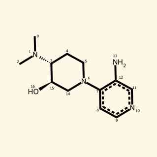 CN(C)[C@@H]1CCN(c2ccncc2N)C[C@H]1O